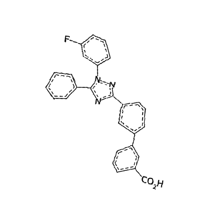 O=C(O)c1cccc(-c2cccc(-c3nc(-c4ccccc4)n(-c4cccc(F)c4)n3)c2)c1